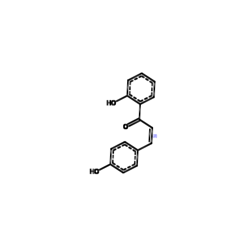 O=C(/C=C\c1ccc(O)cc1)c1ccccc1O